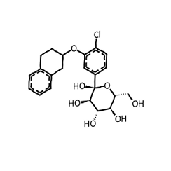 OC[C@H]1O[C@@](O)(c2ccc(Cl)c(OC3CCc4ccccc4C3)c2)[C@H](O)[C@@H](O)[C@@H]1O